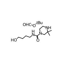 CC(C)(C)OC=O.CC1(C)CN(C(=O)NCCCCO)CCN1